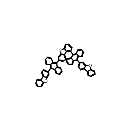 c1ccc2c(c1)oc1cc(-c3c4ccccc4c(-c4ccc5c(c4)sc4cccc(-c6c7ccccc7c(-c7ccc8c(c7)oc7ccccc78)c7ccccc67)c45)c4ccccc34)ccc12